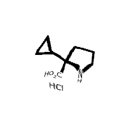 Cl.O=C(O)C1(C2CC2)CCCN1